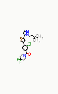 CC(C)CCn1nccc1-c1cc(-c2ccc(C(=O)N3CCC(F)(F)CC3)cc2Cl)cs1